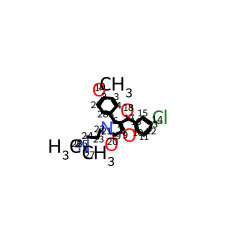 COc1ccc(C2c3c(oc4ccc(Cl)cc4c3=O)C(=O)N2CCCN(C)C)cc1